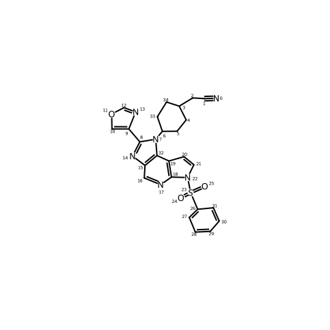 N#CCC1CCC(n2c(-c3cocn3)nc3cnc4c(ccn4S(=O)(=O)c4ccccc4)c32)CC1